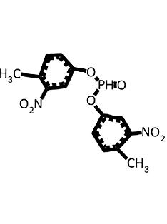 Cc1ccc(O[PH](=O)Oc2ccc(C)c([N+](=O)[O-])c2)cc1[N+](=O)[O-]